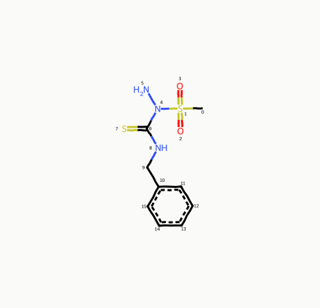 CS(=O)(=O)N(N)C(=S)NCc1ccccc1